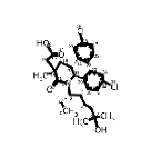 CC[C@@H](CCCC(C)(C)O)N1C(=O)[C@](C)(CC(=O)O)C[C@H](c2cccc(Cl)c2)[C@H]1c1ccc(Cl)cc1